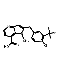 Cn1c(Cc2ccc(Cl)c(C(F)(F)F)c2)cc2nccc(C(=O)O)c21